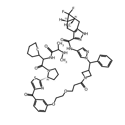 CNC(C)C(=O)NC(C(=O)N1CCC[C@@H]1c1nc(C(=O)c2cccc(OCCOCCC(=O)N3CC(C(c4ccccc4)n4cc(NC(=O)c5n[nH]c6c5C[C@@H]5C(F)(F)[C@]5(C)C6)cn4)C3)c2)cs1)C1CCCCC1